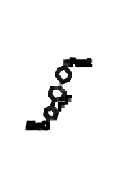 CCCCC[C@H]1CC[C@H](C2CCC(c3ccc(OC)cc3)C(F)(F)C2)CC1